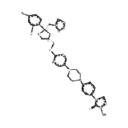 CCC(C)n1ncn(-c2ccc(N3CCN(c4cnc(OC[C@@H]5CO[C@@](Cn6cnnn6)(c6ccc(Cl)cc6Cl)O5)nc4)CC3)cc2)c1=O